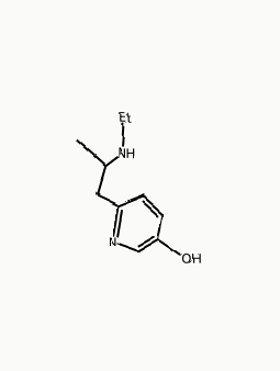 CCNC(C)Cc1ccc(O)cn1